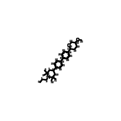 CCCN1C(C)(C)CC(c2ccc(-c3ccc(C4CCC(OC)CO4)cc3)cc2)CC1(C)C